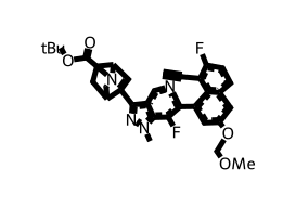 C#Cc1c(F)ccc2cc(OCOC)cc(-c3ncc4c(C5=CC6CCC5CN6C(=O)OC(C)(C)C)nn(C)c4c3F)c12